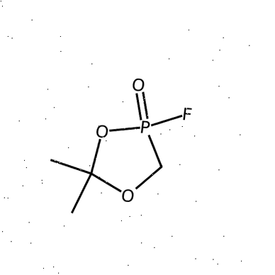 CC1(C)OCP(=O)(F)O1